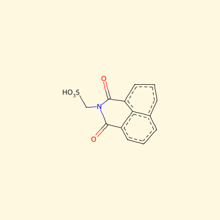 O=C1c2cccc3cccc(c23)C(=O)N1CS(=O)(=O)O